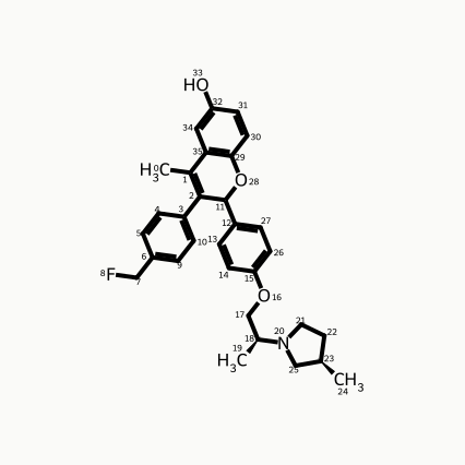 CC1=C(c2ccc(CF)cc2)C(c2ccc(OC[C@H](C)N3CC[C@@H](C)C3)cc2)Oc2ccc(O)cc21